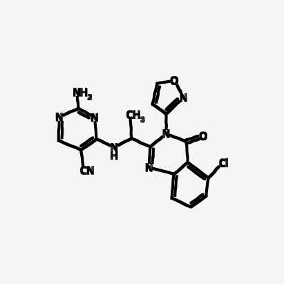 CC(Nc1nc(N)ncc1C#N)c1nc2cccc(Cl)c2c(=O)n1-c1ccon1